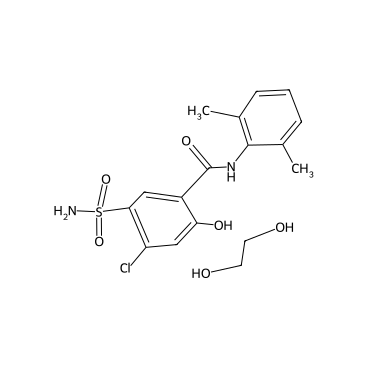 Cc1cccc(C)c1NC(=O)c1cc(S(N)(=O)=O)c(Cl)cc1O.OCCO